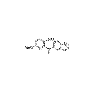 COc1ccc([N+](=O)[O-])c(Nc2ccc3[nH]ncc3c2)n1